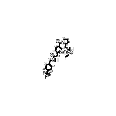 C=CS(=O)(=O)NC[C@@H]1CCCN1C(=O)c1ccc(CC(=O)NCc2ccc(C(F)(F)F)cc2)nc1